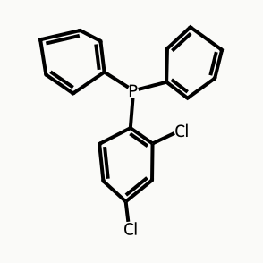 Clc1ccc(P(c2ccccc2)c2ccccc2)c(Cl)c1